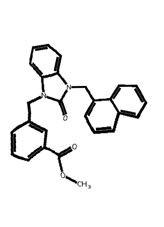 COC(=O)c1cccc(Cn2c(=O)n(Cc3cccc4ccccc34)c3ccccc32)c1